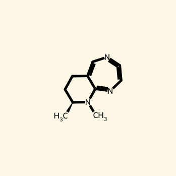 C[C@H]1CCC2=CN=C=CN=C2N1C